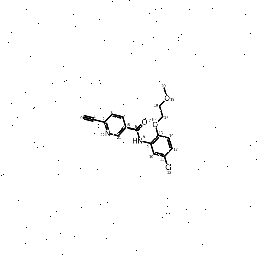 C#Cc1ccc(C(=O)Nc2cc(Cl)ccc2OCCOC)cn1